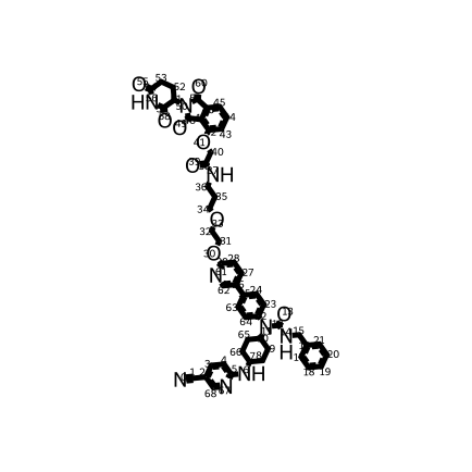 N#Cc1ccc(NC2CCC(N(C(=O)NCc3ccccc3)c3ccc(-c4ccc(OCCOCCCNC(=O)COc5cccc6c5C(=O)N(C5CCC(=O)NC5=O)C6=O)nc4)cc3)CC2)nc1